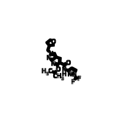 CC(C)Oc1nc2nn(CC3CCOC3)cc2cc1C(=O)Nc1ccn(C(F)F)n1